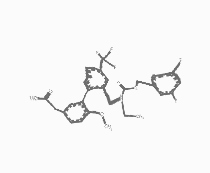 CCN(Cc1cc(C(F)(F)F)ccc1-c1cc(CC(=O)O)ccc1OC)C(=O)OCc1cc(F)cc(F)c1